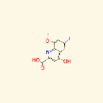 COc1cc(I)cc2c(O)cc(C(=O)O)nc12